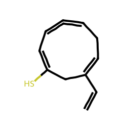 C=C/C1=C/CC=C=C/C=C(/S)C1